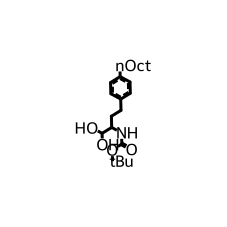 CCCCCCCCc1ccc(CCC(NC(=O)OC(C)(C)C)C(O)O)cc1